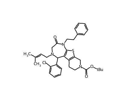 CC(C)=CCN1CC(=O)N(CCc2ccccc2)c2sc3c(c2C1c1ccccc1Cl)CCN(C(=O)OC(C)(C)C)C3